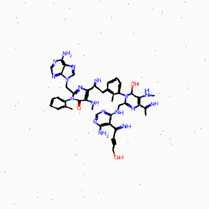 CNC1=C(C(C)=N)N=C(CNc2ncnc(N)c2C(=N)C#CCO)N(c2cccc(CC(=N)c3nc(Cn4cnc5c(N)ncnc54)n(-c4ccccc4C)c(=O)c3NC)c2C)C1O